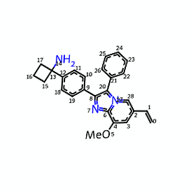 C=Cc1cc(OC)c2nc(-c3ccc(C4(N)CCC4)cc3)c(-c3ccccc3)n2c1